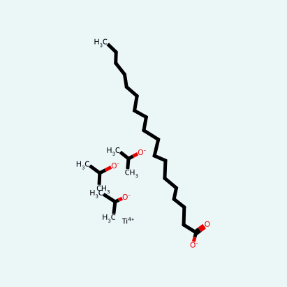 CC(C)[O-].CC(C)[O-].CC(C)[O-].CCCCCCCCCCCCCCCCCC(=O)[O-].[Ti+4]